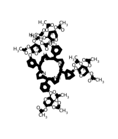 CC(=O)O[C@@H]1[C@H](Oc2cccc(-c3c4nc(c(-c5cccc(O[C@@H]6OC[C@@H](OC(C)=O)[C@@H](OC(C)=O)[C@@H]6OC(C)=O)c5)c5ccc([nH]5)c(-c5cccc(O[C@@H]6OC[C@@H](OC(C)=O)[C@@H](OC(C)=O)[C@@H]6OC(C)=O)c5)c5nc(c(-c6cccc(O[C@@H]7OC[C@@H](OC(C)=O)[C@@H](OC(C)=O)[C@@H]7OC(C)=O)c6)c6ccc3[nH]6)CC5)CC4)c2)OC[C@@H](OC(C)=O)[C@H]1OC(C)=O